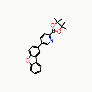 CC1(C)OB(c2ccc(-c3ccc4oc5ccccc5c4c3)cn2)OC1(C)C